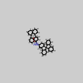 c1ccc(-c2cccc3cccc(-c4ccc(Nc5ccc6c(c5)-c5ccccc5C65c6ccccc6-c6ccccc65)cc4)c23)cc1